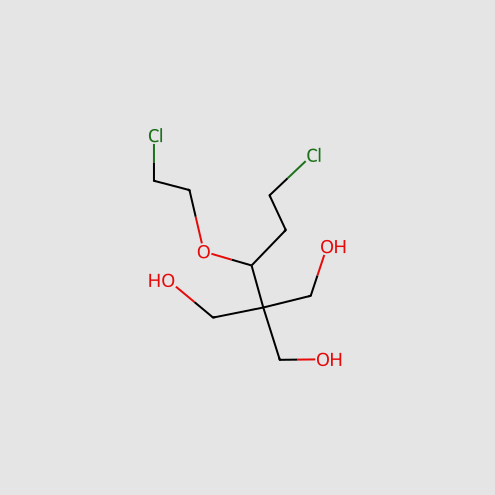 OCC(CO)(CO)C(CCCl)OCCCl